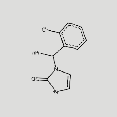 CCCC(c1ccccc1Cl)N1C=C[N]C1=O